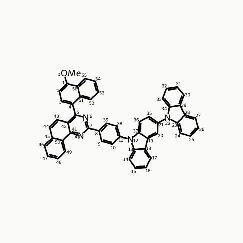 COc1ccc(-c2nc(-c3ccc(-n4c5ccccc5c5cc(-n6c7ccccc7c7ccccc76)ccc54)cc3)nc3c2ccc2ccccc23)c2ccccc12